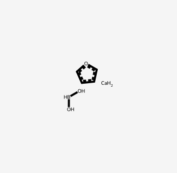 OBO.[CaH2].c1ccoc1